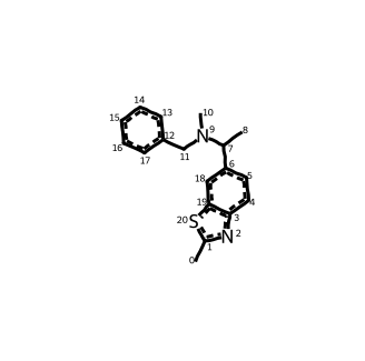 Cc1nc2ccc(C(C)N(C)Cc3ccccc3)cc2s1